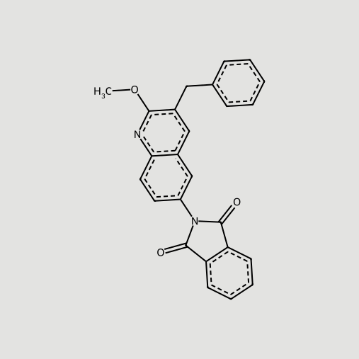 COc1nc2ccc(N3C(=O)c4ccccc4C3=O)cc2cc1Cc1ccccc1